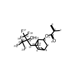 C=C(C)C(=O)OC1CC2CCC1C(CC(O)(C(F)(F)F)C(F)(F)F)C2